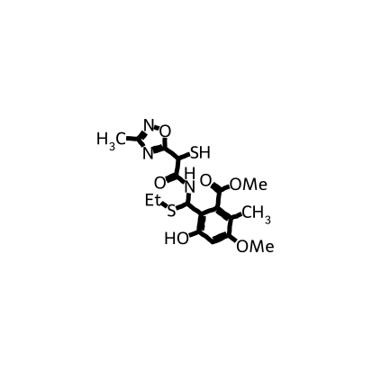 CCSC(NC(=O)C(S)c1nc(C)no1)c1c(O)cc(OC)c(C)c1C(=O)OC